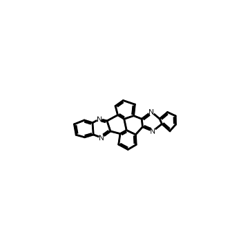 c1ccc2nc3c4cccc5c6nc7ccccc7nc6c6cccc(c3nc2c1)c6c45